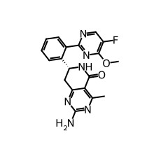 COc1nc(-c2ccccc2[C@H]2Cc3nc(N)nc(C)c3C(=O)N2)ncc1F